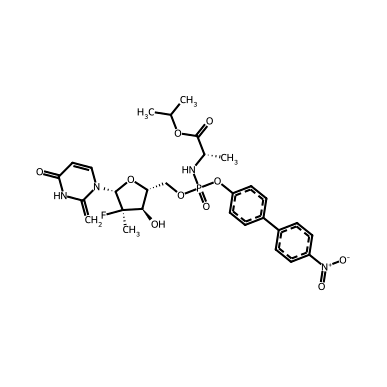 C=C1NC(=O)C=CN1[C@@H]1O[C@H](COP(=O)(N[C@@H](C)C(=O)OC(C)C)Oc2ccc(-c3ccc([N+](=O)[O-])cc3)cc2)[C@@H](O)[C@@]1(C)F